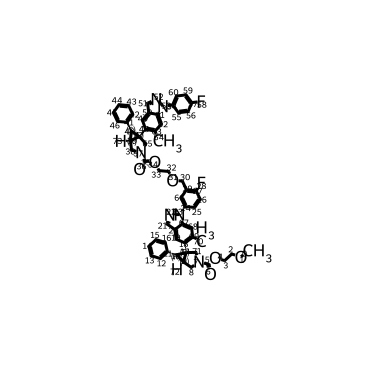 COCCOC(=O)N1C[C@H]2[C@H](c3ccccc3)[C@@]2(c2cc3cnn(-c4ccc(F)c(COCCOC(=O)N5C[C@@H]6[C@@H](c7ccccc7)[C@]6(c6cc7cnn(-c8ccc(F)cc8)c7cc6C)C5)c4)c3cc2C)C1